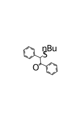 CCCCSC(C(=O)c1ccccc1)c1ccccc1